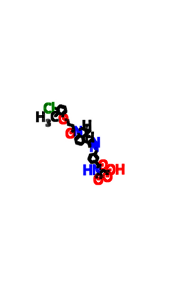 Cc1c(Cl)cccc1OCCCC(=O)N1C[C@@H]2C[C@@H]2c2c(-c3cnn(Cc4cccc(C(=O)NC5(CC(=O)O)COC5)c4)c3)cccc21